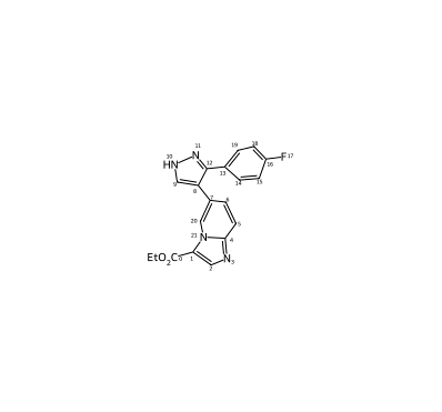 CCOC(=O)c1cnc2ccc(-c3c[nH]nc3-c3ccc(F)cc3)cn12